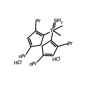 CCCC1=CC(C(C)C)=[C]([Ti]([CH3])([CH3])(=[SiH2])[C]2=C(C(C)C)C=C(CCC)C2)C1.Cl.Cl